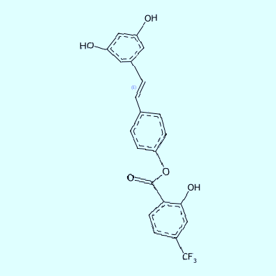 O=C(Oc1ccc(/C=C/c2cc(O)cc(O)c2)cc1)c1ccc(C(F)(F)F)cc1O